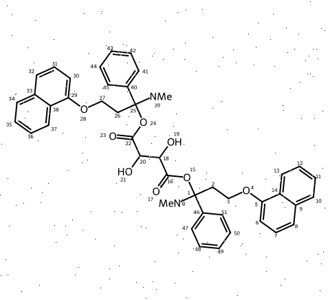 CNC(CCOc1cccc2ccccc12)(OC(=O)C(O)C(O)C(=O)OC(CCOc1cccc2ccccc12)(NC)c1ccccc1)c1ccccc1